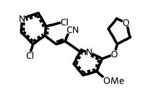 COc1ccc(C(C#N)=Cc2c(Cl)cncc2Cl)nc1OC1CCOC1